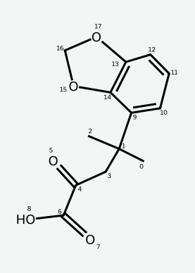 CC(C)(CC(=O)C(=O)O)c1cccc2c1OCO2